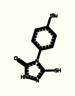 CC(C)(C)c1ccc(-n2c(S)n[nH]c2=O)cc1